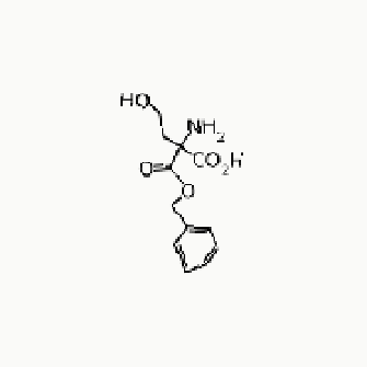 NC(CCO)(C(=O)O)C(=O)OCc1ccccc1